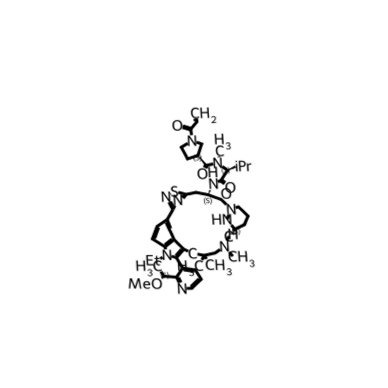 C=CC(=O)N1CC[C@H](C(=O)N(C)[C@H](C(=O)N[C@H]2Cc3nc(ns3)-c3ccc4c(c3)c(c(-c3cccnc3[C@H](C)OC)n4CC)CC(C)(C)CN(C)C[C@@H]3CCCN(N3)C2=O)C(C)C)C1